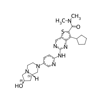 CN(C)C(=O)c1sc2cnc(Nc3ccc(N4CCN5C[C@H](O)C[C@H]5C4)cn3)nc2c1C1CCCC1